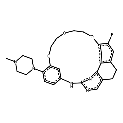 CN1CCN(c2ccc3cc2OCCOCCOc2cc4c(cc2F)CCc2cnc(nc2-4)N3)CC1